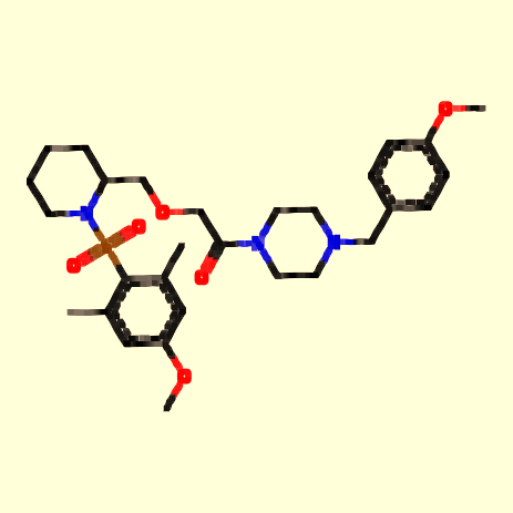 COc1ccc(CN2CCN(C(=O)COCC3CCCCN3S(=O)(=O)c3c(C)cc(OC)cc3C)CC2)cc1